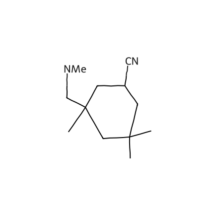 CNCC1(C)CC(C#N)CC(C)(C)C1